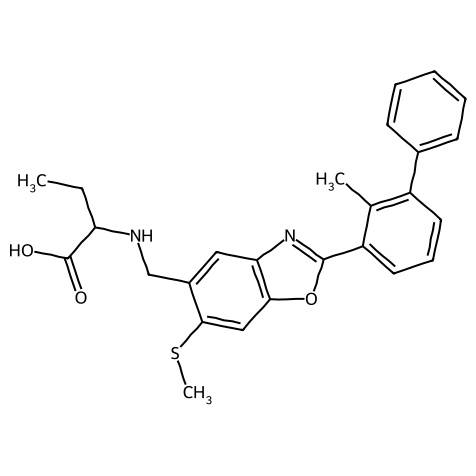 CCC(NCc1cc2nc(-c3cccc(-c4ccccc4)c3C)oc2cc1SC)C(=O)O